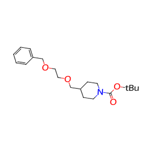 CC(C)(C)OC(=O)N1CCC(COCCOCc2ccccc2)CC1